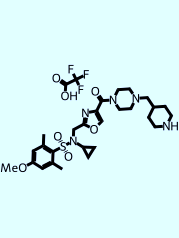 COc1cc(C)c(S(=O)(=O)N(Cc2nc(C(=O)N3CCN(CC4CCNCC4)CC3)co2)C2CC2)c(C)c1.O=C(O)C(F)(F)F